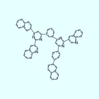 c1cc(-c2cc(-c3ccc(-c4ccc5ccccc5c4)cc3)nc(-c3cnc4ccccc4c3)n2)cc(-c2cc(-c3ccc4ccccc4c3)nc(-c3cnc4ccccc4c3)n2)c1